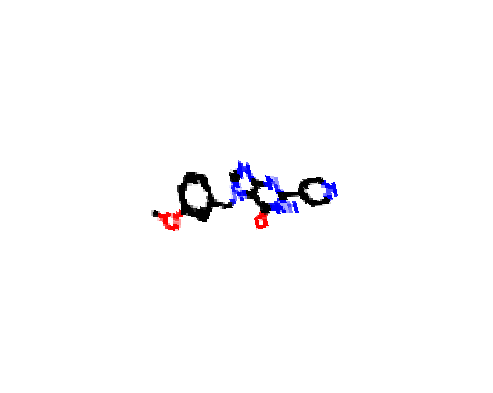 COc1cccc(Cn2cnc3nc(-c4ccncc4)[nH]c(=O)c32)c1